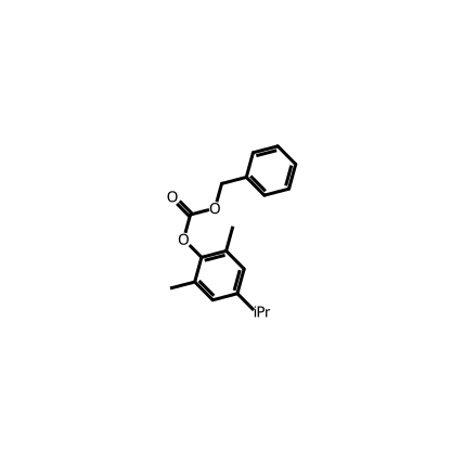 Cc1cc(C(C)C)cc(C)c1OC(=O)OCc1ccccc1